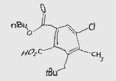 CCCCOC(=O)c1cc(Cl)c(C)c(CC(C)(C)C)c1C(=O)O